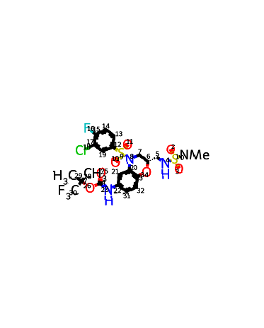 CNS(=O)(=O)NC[C@H]1CN(S(=O)(=O)c2ccc(F)c(Cl)c2)c2cc(NC(=O)OC(C)(C)C(F)(F)F)ccc2O1